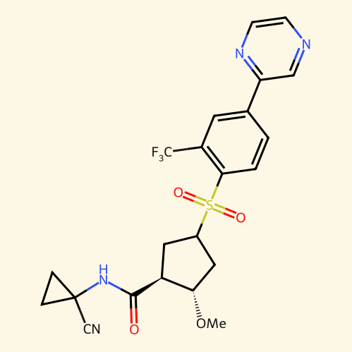 CO[C@H]1CC(S(=O)(=O)c2ccc(-c3cnccn3)cc2C(F)(F)F)C[C@@H]1C(=O)NC1(C#N)CC1